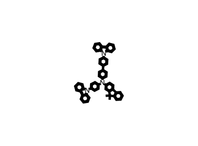 CC1(C)c2ccccc2-c2ccc(N(c3ccc(-c4ccc(-n5c6ccccc6c6ccccc65)cc4)cc3)c3ccc(-n4c5ccccc5c5ccccc54)cc3)cc21